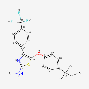 CCC(C)(C)c1ccc(Oc2sc(NC)nc2-c2ccc(C(F)(F)F)cc2)cc1